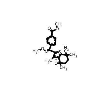 CON=C(c1ccc(C(=O)OC)cc1)c1sc2c(c1C)C(C)(C)CCC2(C)C